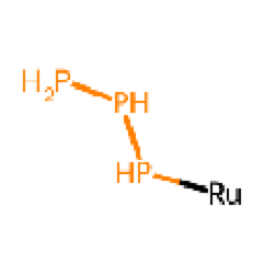 PP[PH][Ru]